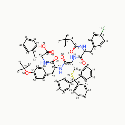 CC(C)(C)CC(=O)N[C@@H](Cc1ccc(Cl)cc1)C(=O)N[C@H](CSC(c1ccccc1)(c1ccccc1)c1ccccc1)C(=O)N[C@@H](Cc1ccc(OC(C)(C)C)cc1)C(=O)N[C@H](Cc1ccccc1)C(=O)O